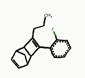 CCCC1=C(c2ccccc2F)C2C3C=CC(C3)C12